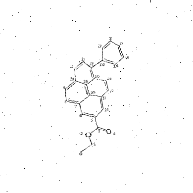 CCOC(=O)c1cc2ccc3ccc(-c4ccccc4)c4ccc(c1)c2c34